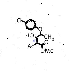 COC(=O)/C(C(C)=O)=C(/O)C(C)Oc1ccc(Cl)cc1